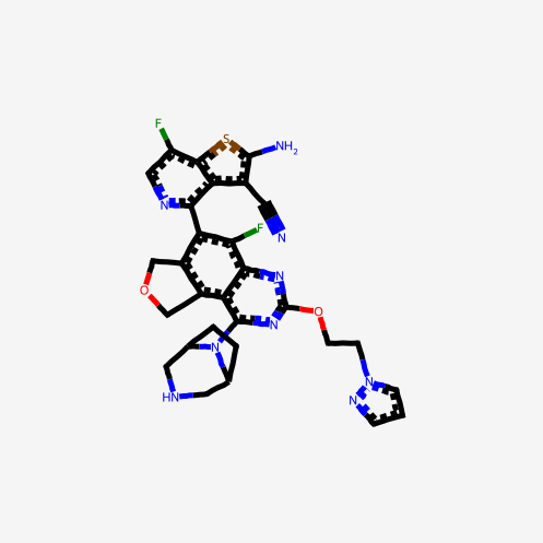 N#Cc1c(N)sc2c(F)cnc(-c3c4c(c5c(N6C7CCC6CNC7)nc(OCCn6cccn6)nc5c3F)COC4)c12